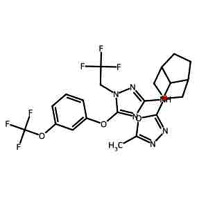 Cc1nnc(N2CC3CCC(C2)C3Nc2nc(Oc3cccc(OC(F)(F)F)c3)n(CC(F)(F)F)n2)o1